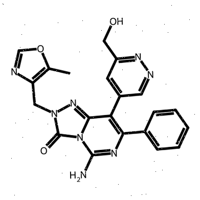 Cc1ocnc1Cn1nc2c(-c3cnnc(CO)c3)c(-c3ccccc3)nc(N)n2c1=O